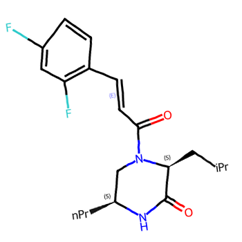 CCC[C@H]1CN(C(=O)/C=C/c2ccc(F)cc2F)[C@@H](CC(C)C)C(=O)N1